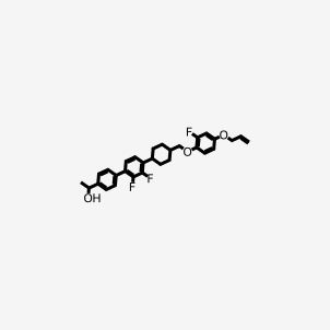 C=CCOc1ccc(OCC2CCC(c3ccc(-c4ccc(C(C)O)cc4)c(F)c3F)CC2)c(F)c1